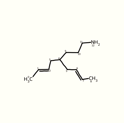 CC=CCC(CC=CC)CCCN